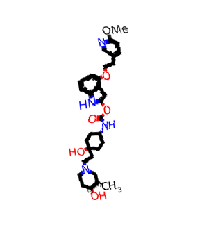 COc1ccc(CCOc2cccc3[nH]c(OC(=O)NC4CCC(O)(CCN5CC[C@H](O)[C@@H](C)C5)CC4)cc23)cn1